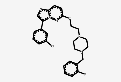 Fc1ccccc1CN1CCN(CCOc2ccc3ncc(-c4cccc(Cl)c4)n3n2)CC1